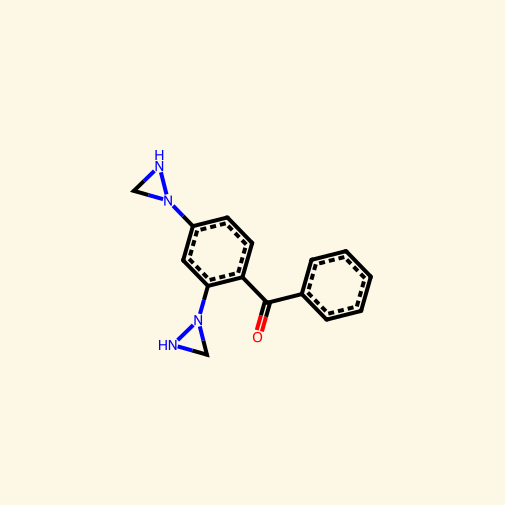 O=C(c1ccccc1)c1ccc(N2CN2)cc1N1CN1